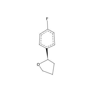 Fc1ccc([C@H]2CCCO2)cc1